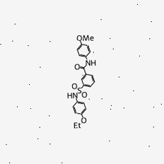 CCOc1ccc(NS(=O)(=O)c2cccc(C(=O)Nc3ccc(OC)cc3)c2)cc1